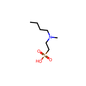 CCCCN(C)CCS(=O)(=O)O